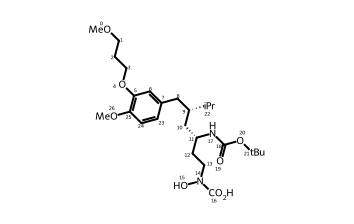 COCCCOc1cc(C[C@@H](C[C@@H](CCN(O)C(=O)O)NC(=O)OC(C)(C)C)C(C)C)ccc1OC